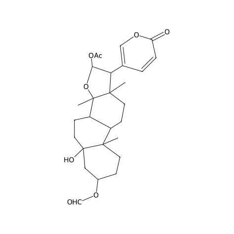 CC(=O)OC1OC2(C)C3CCC4(O)CC(OC=O)CCC4(C)C3CCC2(C)C1c1ccc(=O)oc1